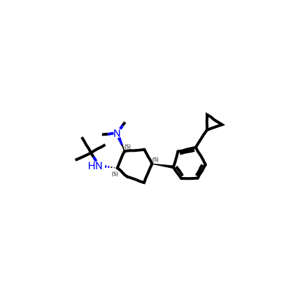 CN(C)[C@H]1C[C@@H](c2cccc(C3CC3)c2)CC[C@@H]1NC(C)(C)C